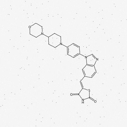 O=C1NC(=O)/C(=C/c2ccc3ncn(-c4ccc(N5CCC(N6CCOCC6)CC5)cc4)c3c2)S1